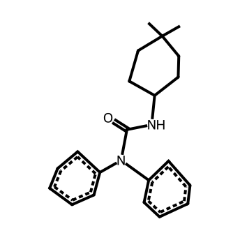 CC1(C)CCC(NC(=O)N(c2ccccc2)c2ccccc2)CC1